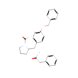 C[C@H](C(=O)N[C@@H](c1ccc(OCc2ccccc2)cc1)C1CCCN1C(=O)O)c1ccccc1